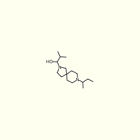 CCC(C)N1CCC2(CC1)CCN(C(O)C(C)C)C2